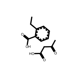 CC(=O)CC(=O)O.CCc1ccccc1C(=O)O